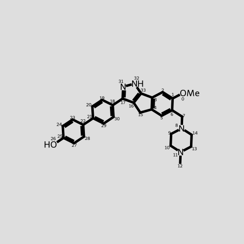 COc1cc2c(cc1CN1CCN(C)CC1)Cc1c(-c3ccc(-c4ccc(O)cc4)cc3)n[nH]c1-2